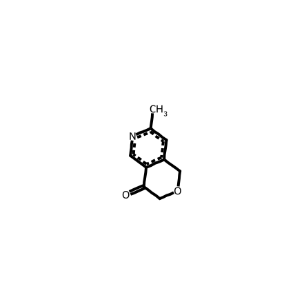 Cc1cc2c(cn1)C(=O)COC2